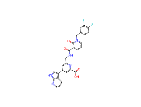 O=C(O)c1cc(-c2c[nH]c3ncccc23)cc(CNC(=O)c2cccn(Cc3ccc(F)c(F)c3)c2=O)n1